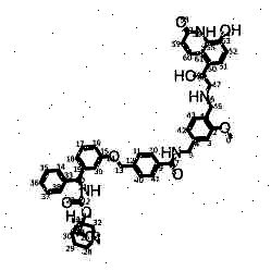 COc1cc(CNC(=O)c2ccc(COc3cccc(C(NC(=O)O[C@H]4CN5CCC4CC5)c4ccccc4)c3)cc2)ccc1CNC[C@@H](O)c1ccc(O)c2[nH]c(=O)ccc12